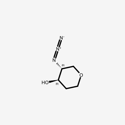 [N-]=[N+]=N[C@@H]1COCC[C@H]1O